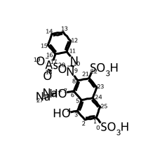 O=S(=O)(O)c1cc(O)c2c(O)c(N=Nc3ccccc3[As](=O)([O-])[O-])c(S(=O)(=O)O)cc2c1.[Na+].[Na+]